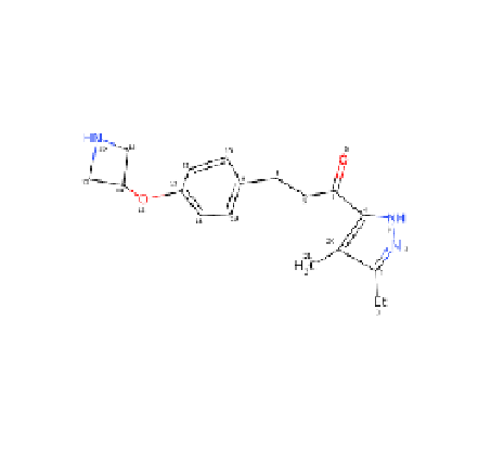 CCc1n[nH]c(C(=O)CCc2ccc(OC3CNC3)cc2)c1C